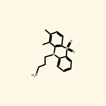 Cc1ccc2c(c1C)N(CCCN)c1ccccc1S2(=O)=O